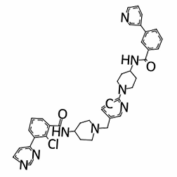 O=C(NC1CCN(c2ccc(CN3CCC(NC(=O)c4cccc(-c5ccncn5)c4Cl)CC3)cn2)CC1)c1cccc(-c2cccnc2)c1